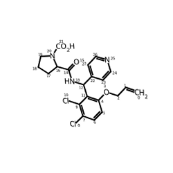 C=CCOc1ccc(Cl)c(Cl)c1C(NC(=O)C1CCCN1C(=O)O)c1ccncc1